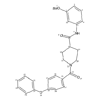 COc1cccc(NC(=O)C2CCN(C(=O)c3ccc(Oc4ccccc4)cc3)CC2)c1